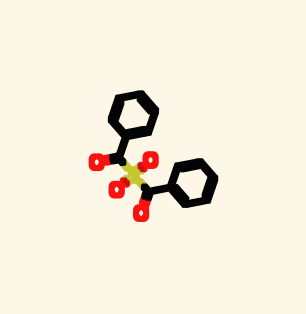 O=C(c1ccccc1)S(=O)(=O)C(=O)c1ccccc1